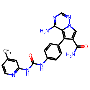 NC(=O)c1cn2ncnc(N)c2c1-c1ccc(NC(=O)Nc2cc(C(F)(F)F)ccn2)cc1